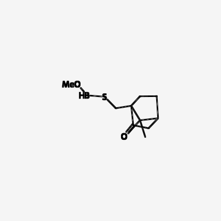 COBSCC12CCC(CC1=O)C2(C)C